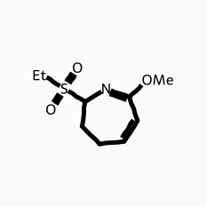 CCS(=O)(=O)C1CCC=CC(OC)=N1